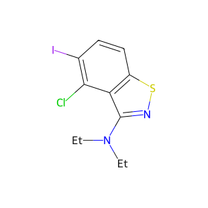 CCN(CC)c1nsc2ccc(I)c(Cl)c12